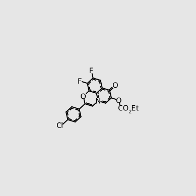 CCOC(=O)Oc1cn2c3c(c(F)c(F)cc3c1=O)OC(c1ccc(Cl)cc1)=C2